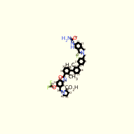 Cc1c(-c2ccc(CN3Cc4ccc(NC(N)=O)cc4C3)c(F)c2)cccc1-c1cccc(-c2nc3cc(CN4CCC[C@H]4C(=O)O)c(OC(F)F)cc3o2)c1C